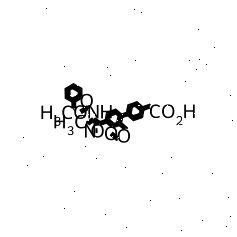 Cc1noc(-c2ccc(-c3ccc(CC(=O)O)cc3)c3c2OCOC3)c1NC(=O)OC(C)c1ccccc1